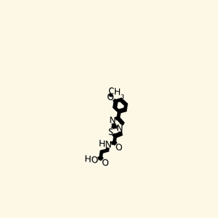 COc1cccc(-c2cn3cc(C(=O)NCCC(=O)O)sc3n2)c1